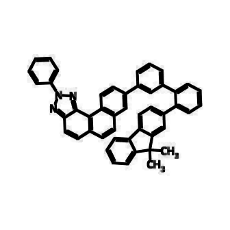 CC1(C)c2ccccc2-c2ccc(-c3ccccc3-c3cccc(-c4ccc5c(ccc6ccc7nn(-c8ccccc8)nc7c65)c4)c3)cc21